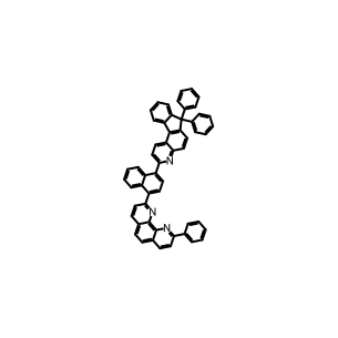 c1ccc(-c2ccc3ccc4ccc(-c5ccc(-c6ccc7c8c(ccc7n6)C(c6ccccc6)(c6ccccc6)c6ccccc6-8)c6ccccc56)nc4c3n2)cc1